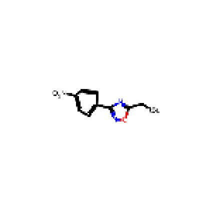 CC(C)(C)Cc1nc(-c2ccc([N+](=O)[O-])cc2)no1